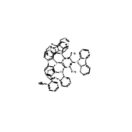 CCCCc1ccccc1-c1ccc2c3ccc4oc5ccccc5c4c3n(-c3c(-n4c5ccccc5c5ccccc54)c(C#N)c(-n4c5ccccc5c5ccccc54)c(C#N)c3-n3c4ccccc4c4ccccc43)c2c1